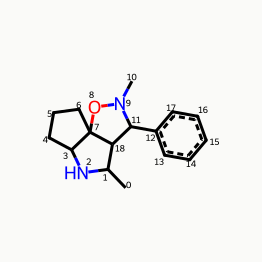 CC1NC2CCCC23ON(C)C(c2ccccc2)C13